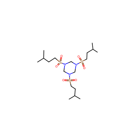 CC(C)CCS(=O)(=O)N1CN(S(=O)(=O)CCC(C)C)CN(S(=O)(=O)CCC(C)C)C1